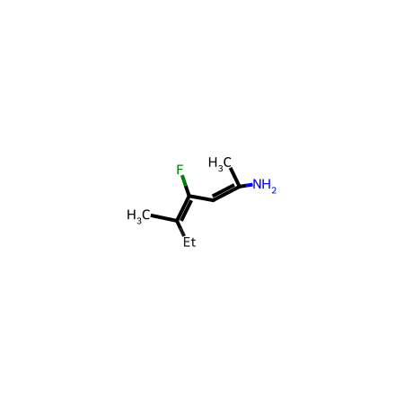 CC/C(C)=C(F)\C=C(/C)N